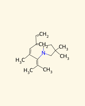 C=CC(=C)/C=C(/C)C(=C(C)C)N1CCC(C)(C)C1